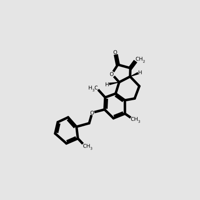 C=C1C(=O)O[C@H]2c3c(C)c(OCc4ccccc4C)cc(C)c3CC[C@@H]12